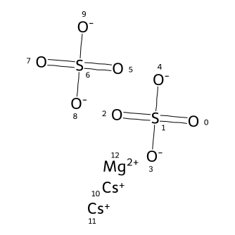 O=S(=O)([O-])[O-].O=S(=O)([O-])[O-].[Cs+].[Cs+].[Mg+2]